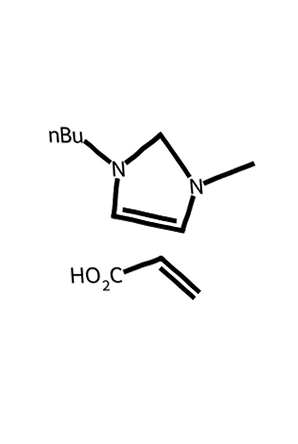 C=CC(=O)O.CCCCN1C=CN(C)C1